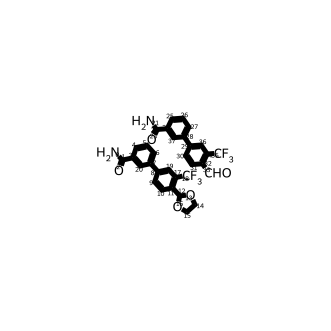 NC(=O)c1cccc(-c2ccc(C3OCCO3)c(C(F)(F)F)c2)c1.NC(=O)c1cccc(-c2ccc(C=O)c(C(F)(F)F)c2)c1